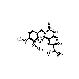 COc1ccc(Cn2c(N)c(NC(=O)C(C)C)c(=O)[nH]c2=O)cc1OC